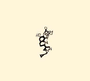 O=C1CN(c2c(O)cc3ccc(-c4cnn(CC5CC5)c4)nc3c2F)S(=O)(=O)N1